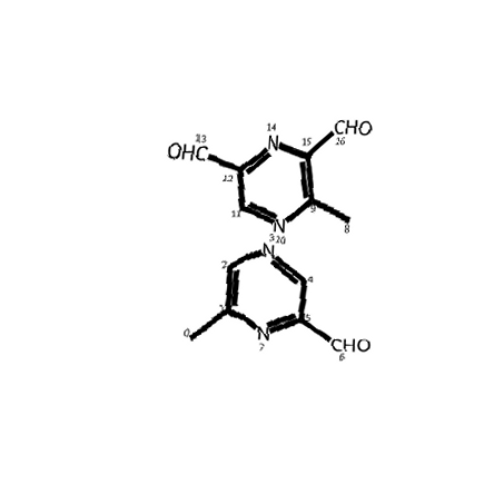 Cc1cncc(C=O)n1.Cc1ncc(C=O)nc1C=O